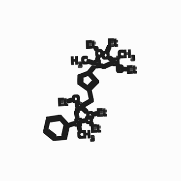 CCO[Si](C)(C[Si](C)(OCC)C1C=CC(C[Si](C[Si](C)(OCC)c2ccccc2)(OCC)OCC)=C1)OCC